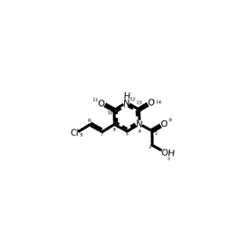 O=C(CO)n1cc(C=CCl)c(=O)[nH]c1=O